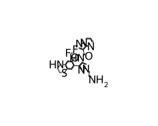 NCCn1cc(NC(=O)c2cnn3cccnc23)c(-c2cc3c(cc2OC(F)F)NCCS3)n1